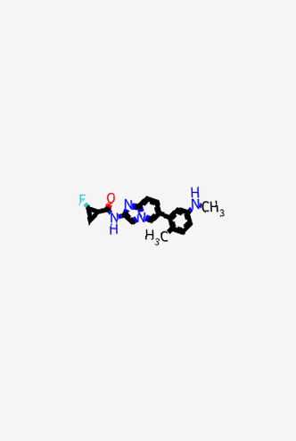 CNc1ccc(C)c(-c2ccc3nc(NC(=O)C4CC4F)cn3c2)c1